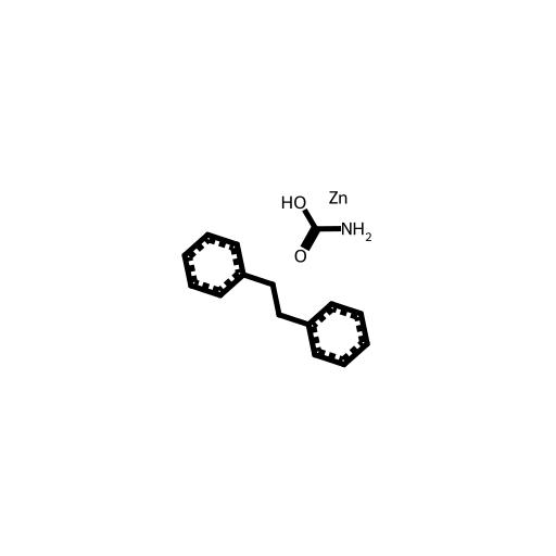 NC(=O)O.[Zn].c1ccc(CCc2ccccc2)cc1